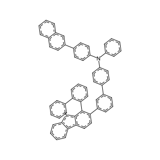 c1ccc(-c2ccccc2-c2c(-c3cccc(-c4ccc(N(c5ccccc5)c5ccc(-c6ccc7ccccc7c6)cc5)cc4)c3)ccc3c2sc2ccccc23)cc1